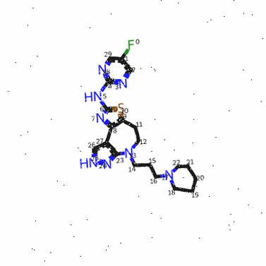 Fc1cnc(Nc2nc3c(s2)CCN(CCCN2CCCCC2)c2n[nH]cc2-3)nc1